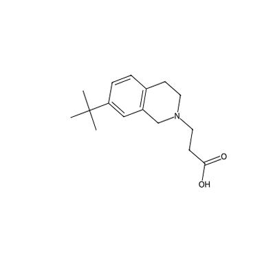 CC(C)(C)c1ccc2c(c1)CN(CCC(=O)O)CC2